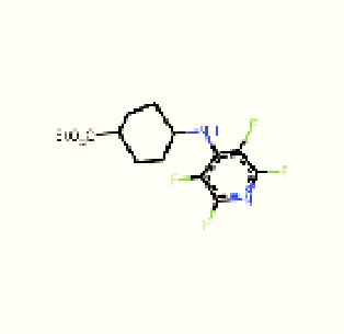 CCOC(=O)C1CCC(Nc2c(F)c(F)nc(F)c2F)CC1